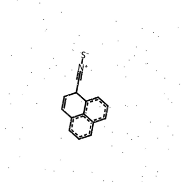 [S-][N+]#CC1C=Cc2cccc3cccc1c23